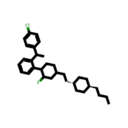 CCCC[C@H]1CC[C@H](CCC2CCC(c3ccccc3C(C)c3ccc(Cl)cc3)C(F)C2)CC1